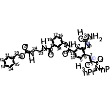 CCCN(CCC)C(=O)/C(C)=C/c1ccc(C(=O)Nc2cccc(C(=O)NCCNC(=O)OCc3ccccc3)c2)cc1/N=C(\C)N